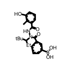 CCC(N(NC(=O)c1cccc(O)c1C)C(=O)c1cccc(B(O)O)c1)C(C)(C)C